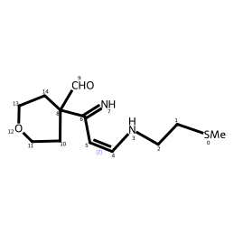 CSCCN/C=C\C(=N)C1(C=O)CCOCC1